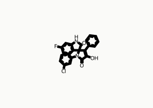 O=C1C(O)=C(c2ccccc2)C2(C(=O)Nc3cc(F)ccc32)N1c1cccc(Cl)c1